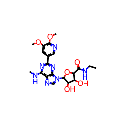 CCNC(=O)C1OC(n2cnc3c(NC)nc(-c4cnc(OC)c(OC)c4)nc32)C(O)C1O